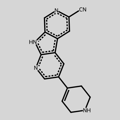 N#Cc1cc2c(cn1)[nH]c1ncc(C3=CCNCC3)cc12